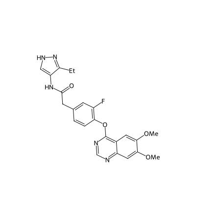 CCc1n[nH]cc1NC(=O)Cc1ccc(Oc2ncnc3cc(OC)c(OC)cc23)c(F)c1